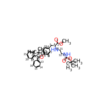 COC(=O)[C@H](Cc1ccc(O[Si](c2ccccc2)(c2ccccc2)C(C)(C)C)cc1)NCCNC(=O)OC(C)(C)C